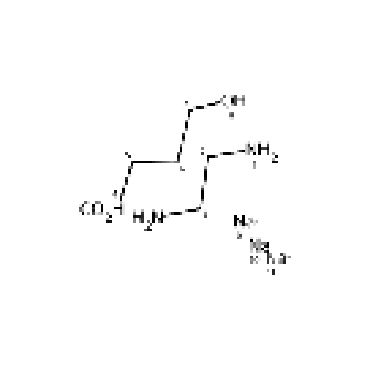 NCCN.O=C(O)CCCO.[Na].[Na].[Na]